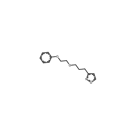 c1ccc(OCCOCCCc2ccon2)cc1